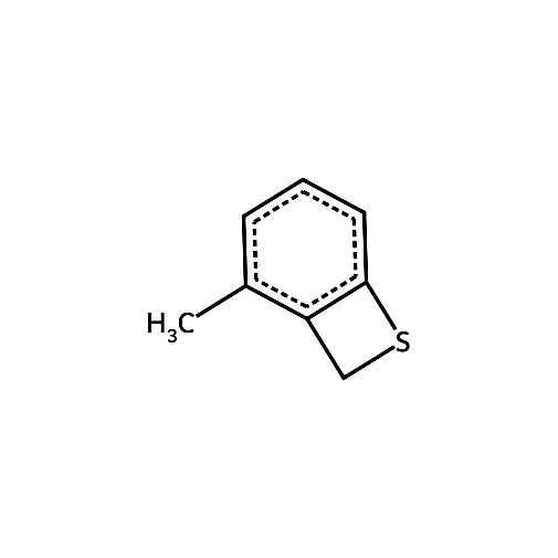 Cc1cccc2c1CS2